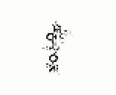 CC(CO)n1cnnc1-c1cccc(N2CCN(c3ccc(S(C)(=O)=O)cc3)C2O)n1